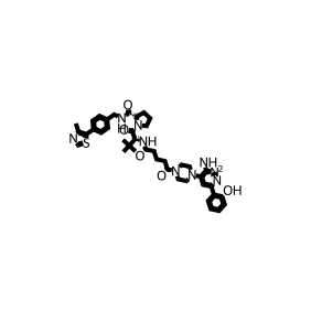 Cc1ncsc1-c1ccc(CNC(=O)[C@@H]2CCCN2C(=O)[C@@H](NC(=O)CCCC(=O)N2CCN(c3cc(-c4ccccc4O)nnc3N)CC2)C(C)(C)C)cc1